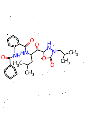 CC(C)CC(NC(=O)c1ccccc1NC(=O)c1ccccc1)C(=O)C1NN(CC(C)C)C(=O)O1